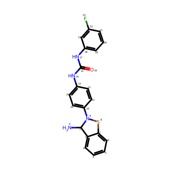 NC1c2ccccc2SN1c1ccc(NC(=O)Nc2cccc(F)c2)cc1